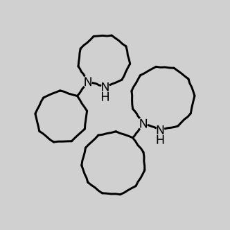 C1CCCCC(N2CCCCCCCN2)CCC1.C1CCCCCC(N2CCCCCCCCCN2)CCCC1